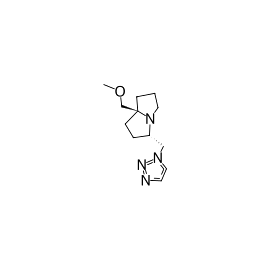 COC[C@@]12CCCN1[C@H](Cn1ccnn1)CC2